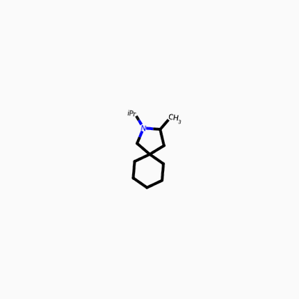 CC(C)N1CC2(CCCCC2)CC1C